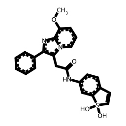 COc1cccn2c(CC(=O)Nc3ccc4c(c3)S(O)(O)C=C4)c(-c3ccccc3)nc12